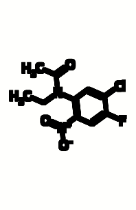 CCN(C(C)=O)c1cc(Cl)c(F)cc1[N+](=O)[O-]